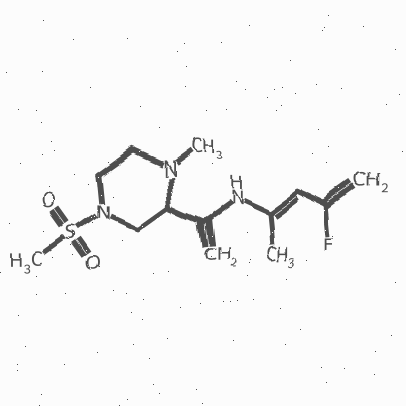 C=C(F)/C=C(\C)NC(=C)C1CN(S(C)(=O)=O)CCN1C